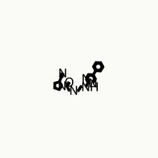 C[N+](C)(CCNc1ncc(-c2ccccc2)cn1)CC(=O)N1CCCC1C#N